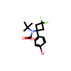 CC(C)(C)N(C(=O)O)C1(c2ccc(Br)cc2)CC(F)(F)C1